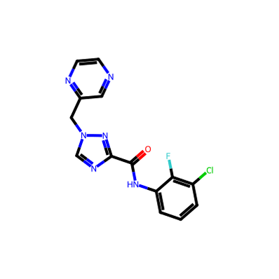 O=C(Nc1cccc(Cl)c1F)c1ncn(Cc2cnccn2)n1